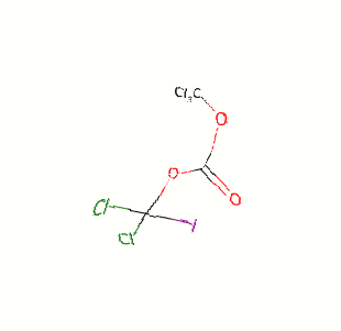 O=C(OC(Cl)(Cl)Cl)OC(Cl)(Cl)I